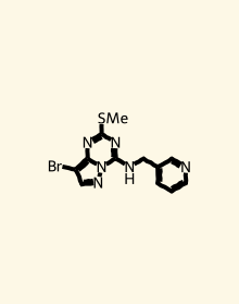 CSc1nc(NCc2cccnc2)n2ncc(Br)c2n1